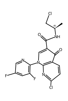 C[C@H](CCl)NC(=O)c1cn(-c2ncc(F)cc2F)c2nc(Cl)ccc2c1=O